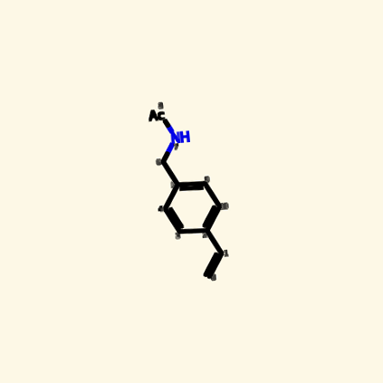 C=Cc1ccc(C[NH][Ac])cc1